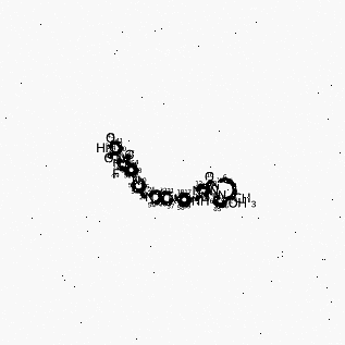 C[C@@]1(O)CC/C=C\Cn2c(=O)c3cnc(Nc4ccc(N5CCC6(CCN(CC7CCN(c8ccc9c(=O)n(C%10CCC(=O)NC%10=O)nc(F)c9c8)CC7)CC6)CC5)cc4)nc3n2-c2cccc1n2